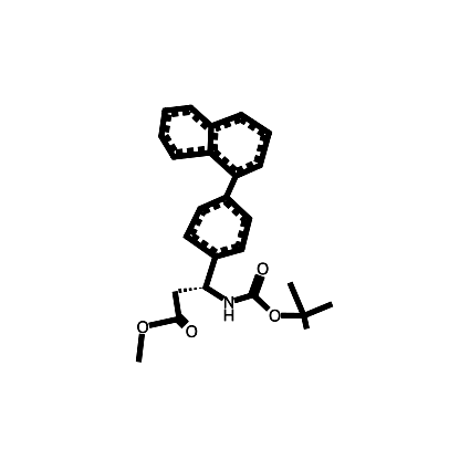 COC(=O)C[C@@H](NC(=O)OC(C)(C)C)c1ccc(-c2cccc3ccccc23)cc1